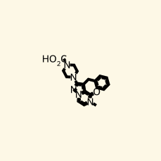 Cn1ccn2nc(N3CCN(C(=O)O)CC3)c(Cc3ccccc3)c2c1=O